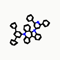 c1ccc(-c2cc(-c3ccccc3)cc(N3c4ccccc4-c4c(n(-c5cc(-c6ccccc6)nc(-c6ccccc6)c5)c5ccccc45)-c4ccccc43)c2)cc1